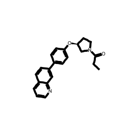 CCC(=O)N1CC[C@H](Oc2ccc(-c3ccc4cccnc4c3)cc2)C1